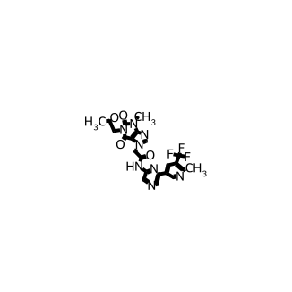 CC(=O)Cn1c(=O)c2c(ncn2CC(=O)Nc2cncc(-c3cnc(C)c(C(F)(F)F)c3)n2)n(C)c1=O